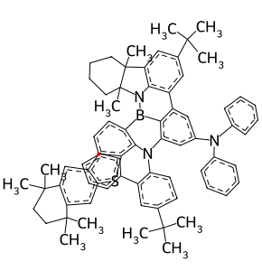 CC(C)(C)c1ccc(N2c3cc(N(c4ccccc4)c4ccccc4)cc4c3B(c3ccc5c(sc6cc7c(cc65)C(C)(C)CCC7(C)C)c32)N2c3c-4cc(C(C)(C)C)cc3C3(C)CCCCC23C)c(-c2ccccc2)c1